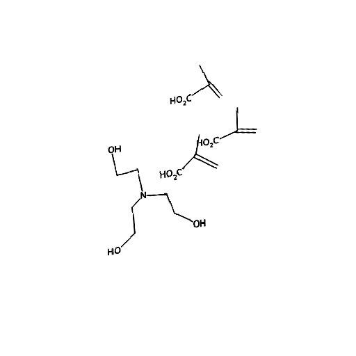 C=C(C)C(=O)O.C=C(C)C(=O)O.C=C(C)C(=O)O.OCCN(CCO)CCO